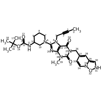 CC#CCn1c(N2CCCC(NC(=O)OC(C)(C)C)C2)nc2c1c(=O)n(CC1=CC3=CNON3C=C1)c(=O)n2C